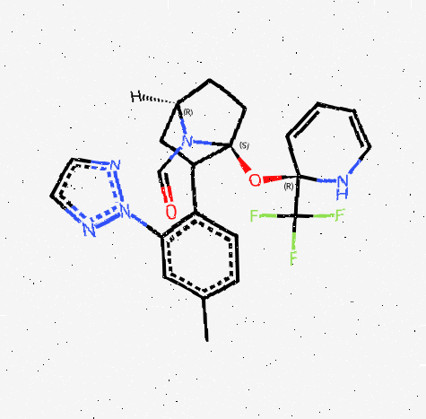 Cc1ccc(C2C[C@H]3CC[C@@]2(O[C@@]2(C(F)(F)F)C=CC=CN2)N3C=O)c(-n2nccn2)c1